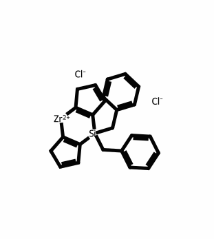 C1=CC2=[C](C1)[Zr+2][C]1=C(C=CC1)[Si]2(Cc1ccccc1)Cc1ccccc1.[Cl-].[Cl-]